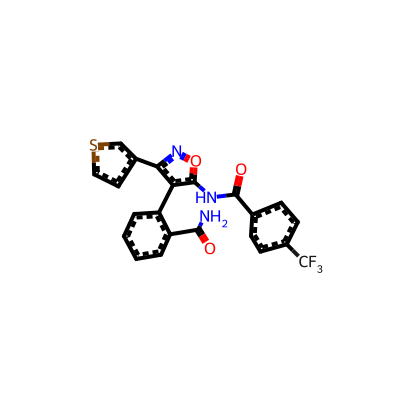 NC(=O)c1ccccc1-c1c(-c2ccsc2)noc1NC(=O)c1ccc(C(F)(F)F)cc1